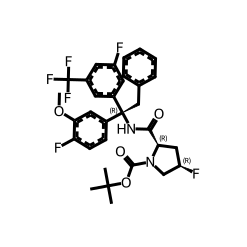 COc1cc([C@@](Cc2ccccc2)(NC(=O)[C@H]2C[C@@H](F)CN2C(=O)OC(C)(C)C)c2cc(F)cc(C(F)(F)F)c2)ccc1F